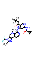 [2H]C([2H])([2H])CC(=O)c1cnc(NC(=O)C2CC2)cc1Nc1nccc2c1N(C)Cc1c-2nc(C)n1C(F)F